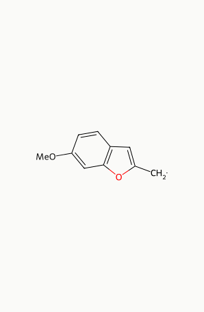 [CH2]c1cc2ccc(OC)cc2o1